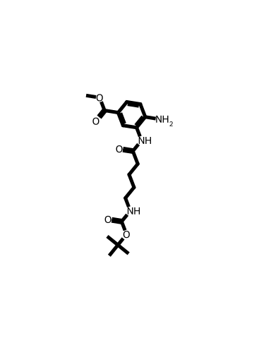 COC(=O)c1ccc(N)c(NC(=O)CCCCNC(=O)OC(C)(C)C)c1